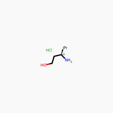 CC(C)[C@@H](N)CCO.Cl